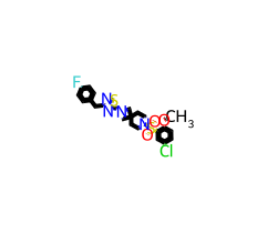 COc1ccc(Cl)cc1S(=O)(=O)N1CCC2(CC1)CN(c1nc(Cc3ccc(F)cc3)ns1)C2